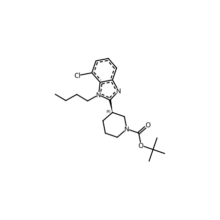 CCCCn1c([C@@H]2CCCN(C(=O)OC(C)(C)C)C2)nc2cccc(Cl)c21